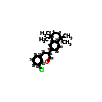 CC1(C)CCC(C)(C)c2cc(C(C=O)Cc3cccc(Cl)c3)ccc21